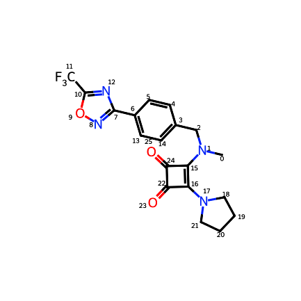 CN(Cc1ccc(-c2noc(C(F)(F)F)n2)cc1)c1c(N2CCCC2)c(=O)c1=O